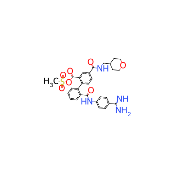 CS(=O)(=O)OC(=O)c1cc(C(=O)NCC2CCOCC2)ccc1-c1ccccc1C(=O)Nc1ccc(C(=N)N)cc1